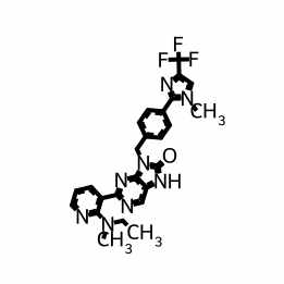 CCN(C)c1ncccc1-c1ncc2[nH]c(=O)n(Cc3ccc(-c4nc(C(F)(F)F)cn4C)cc3)c2n1